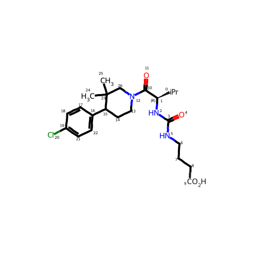 CC(C)[C@@H](NC(=O)NCCCC(=O)O)C(=O)N1CCC(c2ccc(Cl)cc2)C(C)(C)C1